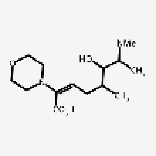 CNC(C)C(O)C(C)CC=C(C(=O)O)N1CCOCC1